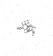 CCC1(C)CC(O)C(C)C(C)(CC)N1OC(C)C(=O)OC